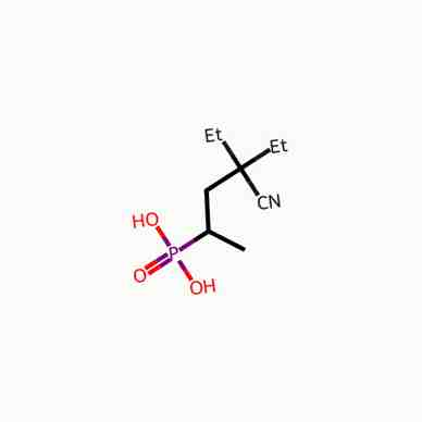 CCC(C#N)(CC)CC(C)P(=O)(O)O